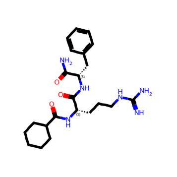 N=C(N)NCCC[C@H](NC(=O)C1CCCCC1)C(=O)N[C@@H](Cc1ccccc1)C(N)=O